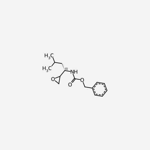 CC(C)C[C@H](NC(=O)OCc1ccccc1)C1CO1